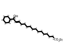 CCOC(=O)CCCCCCCCCCCCC=CC(O)C1CCCCC1